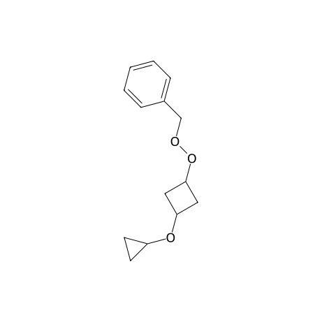 c1ccc(COOC2CC(OC3CC3)C2)cc1